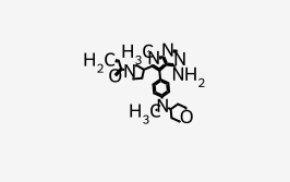 C=CC(=O)N1CCC(c2c(-c3ccc(N(C)C4CCOCC4)cc3)c3c(N)ncnc3n2C)C1